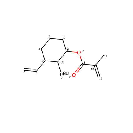 C=CC1CCCC(OC(=O)C(=C)C)C1CCCC